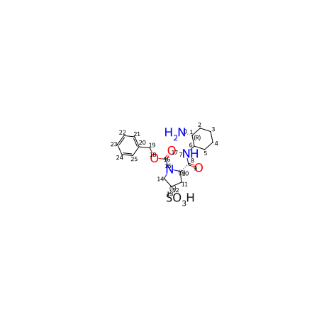 N[C@@H]1CCCCC1NC(=O)[C@@H]1C[C@H](S(=O)(=O)O)CN1C(=O)OCc1ccccc1